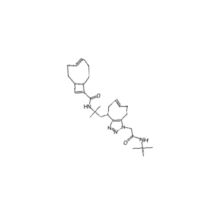 CC(C)(C)NC(=O)Cn1nnc2c1CC/C=C/CC2CC(C)(C)NC(=O)C1=CC2CC/C=C/CCC12